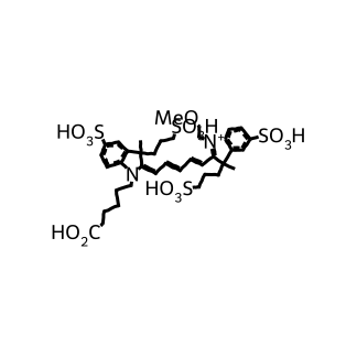 COCC[N+]1=C(/C=C/C=C/C=C2/N(CCCCCC(=O)O)c3ccc(S(=O)(=O)O)cc3C2(C)CCCS(=O)(=O)O)C(C)(CCCS(=O)(=O)O)c2cc(S(=O)(=O)O)ccc21